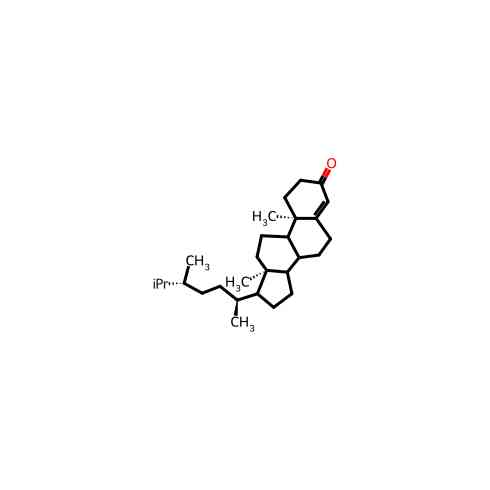 CC(C)[C@H](C)CC[C@H](C)C1CCC2C3CCC4=CC(=O)CC[C@]4(C)C3CC[C@@]21C